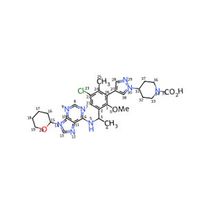 COc1c(C(C)Nc2ncnc3c2ncn3C2CCCCO2)cc(Cl)c(C)c1-c1cnn(C2CCN(C(=O)O)CC2)c1